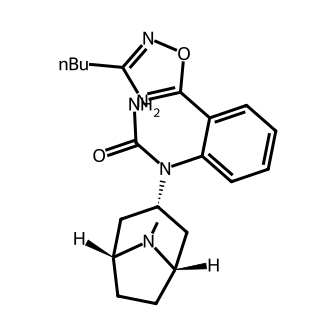 CCCCc1noc(-c2ccccc2N(C(N)=O)[C@H]2C[C@H]3CC[C@@H](C2)N3C)n1